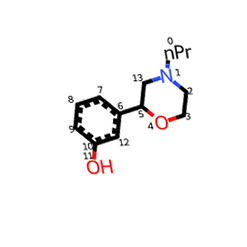 CCCN1CCOC(c2cccc(O)c2)C1